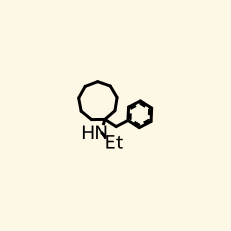 CCNC1(Cc2ccccc2)CCCCCCCC1